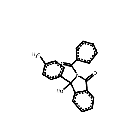 Cc1ccc(C2(O)c3ccccc3C(=O)N2C(=O)c2ccccc2)cc1